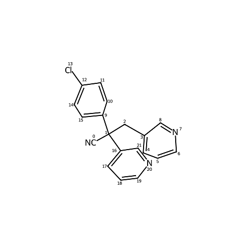 N#CC(Cc1cccnc1)(c1ccc(Cl)cc1)c1cccnc1